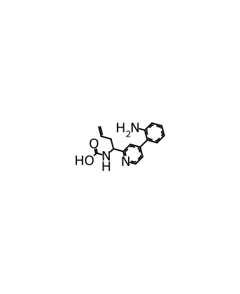 C=CCC(NC(=O)O)c1cc(-c2ccccc2N)ccn1